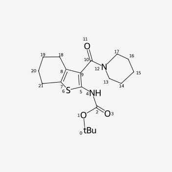 CC(C)(C)OC(=O)Nc1sc2c(c1C(=O)N1CCCCC1)CCCC2